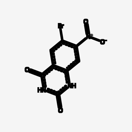 O=c1[nH]c(=O)c2cc(Br)c([N+](=O)[O-])cc2[nH]1